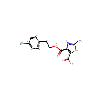 Cc1nc(C(=O)OCCc2ccc(Cl)cc2)c(C(=O)O)s1